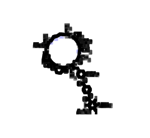 CO[C@H]1C[C@@H]2CC[C@@H](C)[C@@](O)(O2)C(=O)C(=O)N2CCCC[C@H]2C(=O)O[C@H]([C@H](C)C[C@@H]2CC[C@@H](OC(=O)c3ccc(OC(=O)c4c(I)c(NC(C)=O)c(I)c(NC(C)=O)c4I)cc3)[C@H](OC)C2)CC(=O)[C@H](C)/C=C(\C)[C@@H](O)[C@@H](OC)C(=O)[C@H](C)C[C@H](C)/C=C/C=C/C=C/1C